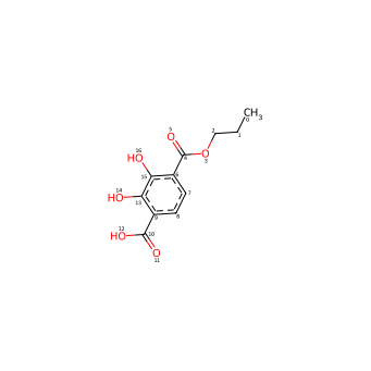 CCCOC(=O)c1ccc(C(=O)O)c(O)c1O